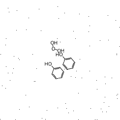 OOO.Oc1ccccc1.Oc1ccccc1